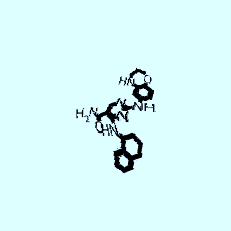 NC(=O)c1cnc(Nc2ccc3c(c2)NCCCO3)nc1NC1CCCc2ccccc21